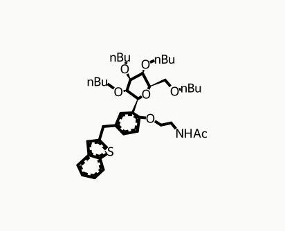 CCCCOC[C@H]1O[C@@H](c2cc(Cc3cc4ccccc4s3)ccc2OCCNC(C)=O)[C@H](OCCCC)[C@@H](OCCCC)[C@@H]1OCCCC